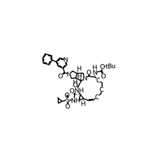 CC(C)(C)OC(=O)N[C@@H]1CCCCC/C=C\[C@H]2C[C@@]2(C(=O)NS(=O)(=O)C2CC2)NC(=O)[C@@H]2[C@H]3CN(C(=O)c4cncc(-c5ccccc5)c4)C[C@H]3CN2C1=O